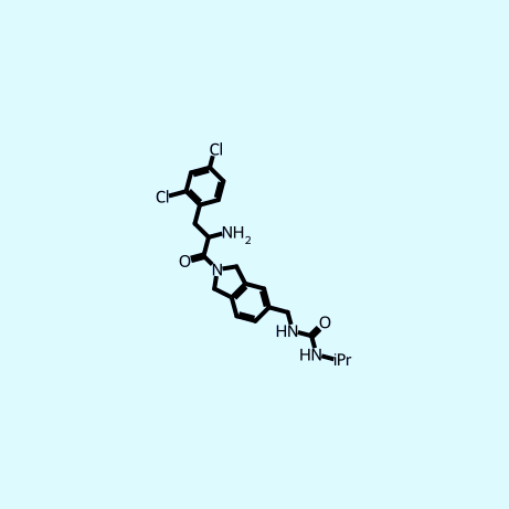 CC(C)NC(=O)NCc1ccc2c(c1)CN(C(=O)C(N)Cc1ccc(Cl)cc1Cl)C2